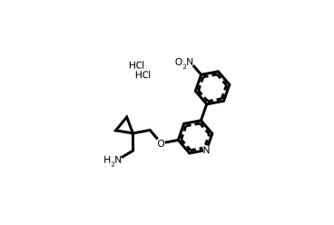 Cl.Cl.NCC1(COc2cncc(-c3cccc([N+](=O)[O-])c3)c2)CC1